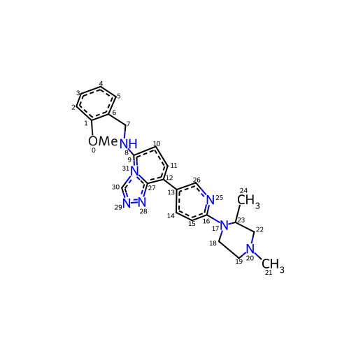 COc1ccccc1CNc1ccc(-c2ccc(N3CCN(C)CC3C)nc2)c2nncn12